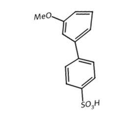 COc1cccc(-c2ccc(S(=O)(=O)O)cc2)c1